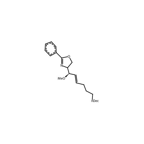 CCCCCCCCCCCCC/C=C/[C@@H](OC)C1COC(c2ccccc2)=N1